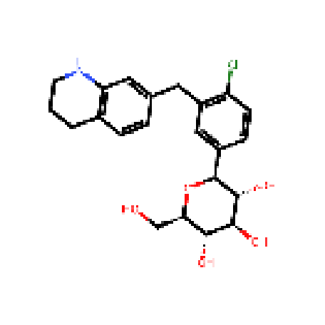 OC[C@H]1O[C@@H](c2ccc(Cl)c(Cc3ccc4c(c3)NCCC4)c2)[C@H](O)[C@@H](O)[C@@H]1O